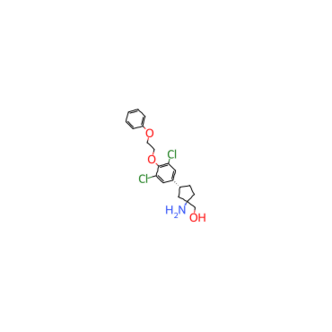 N[C@]1(CO)CC[C@@H](c2cc(Cl)c(OCCOc3ccccc3)c(Cl)c2)C1